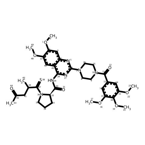 COc1cc2nc(N3CCN(C(=O)c4cc(OC)c(OC)c(OC)c4)CC3)nc(NC(=O)[C@H]3CCCN3C(=S)C(C)CC(C)=O)c2cc1OC